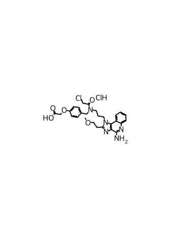 COCCc1nc2c(N)nc3ccccc3c2n1CCCN(Cc1ccc(OCC(=O)O)cc1)C(=O)CCl.Cl